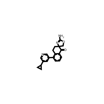 NC1=NC2(CCc3c(cccc3-c3cncc(C4CC4)c3)C2=O)CO1